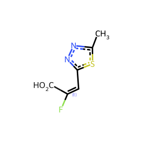 Cc1nnc(/C=C(/F)C(=O)O)s1